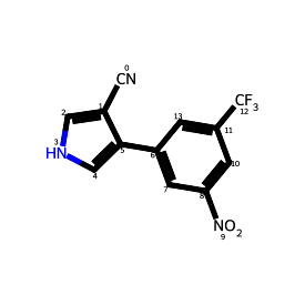 N#Cc1c[nH]cc1-c1cc([N+](=O)[O-])cc(C(F)(F)F)c1